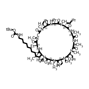 CC[C@@H]1NC(=O)[C@H]([C@H](O)[C@H](C)CCCCCCCCNC(=O)OC(C)(C)C)N(C)C(=O)[C@H](C(C)C)N(C)C(=O)[C@H](CC(C)C)N(C)C(=O)[C@H](CC(C)C)N(C)C(=O)[C@H](C)NC(=O)[C@@H](C)NC(=O)[C@@H](CCC(C)C)N(C)C(=O)[C@@H](C(C)C)NC(=O)[C@H](CC(C)C)N(C)C(=O)CN(C)C1=O